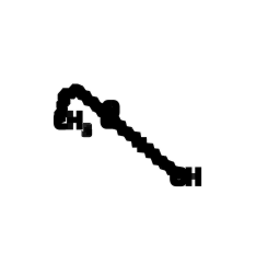 CCCCC/C=C\C/C=C\CCCCCCCC(=O)OCCCCCCCCCCCCCCCCCCCO